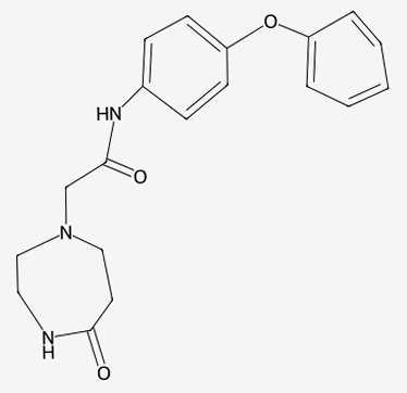 O=C1CCN(CC(=O)Nc2ccc(Oc3ccccc3)cc2)CCN1